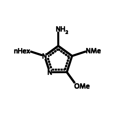 CCCCCCn1nc(OC)c(NC)c1N